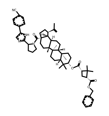 C=C(C)[C@@H]1CC[C@]2(C(=O)N3CCCC3c3ncc(-c4ccc(C#N)cc4)[nH]3)CC[C@]3(C)[C@H](CC[C@@H]4[C@@]5(C)CC[C@H](OC(=O)[C@H]6C[C@@H](C(=O)OCc7ccccc7)C6(C)C)C(C)(C)[C@@H]5CC[C@]43C)[C@@H]12